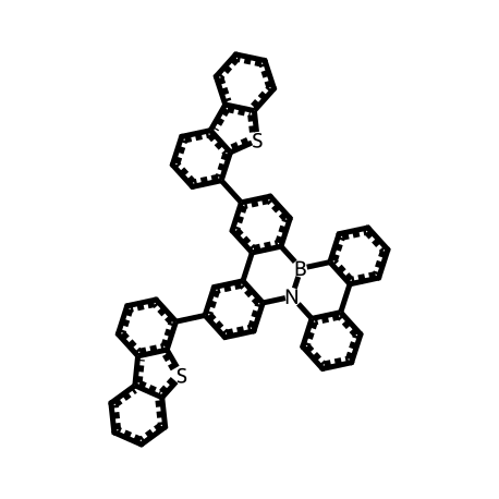 c1ccc2c(c1)B1c3ccc(-c4cccc5c4sc4ccccc45)cc3-c3cc(-c4cccc5c4sc4ccccc45)ccc3N1c1ccccc1-2